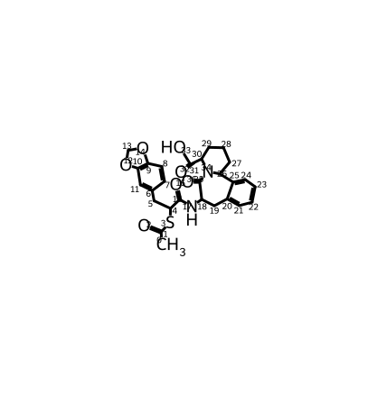 CC(=O)SC(Cc1ccc2c(c1)OCO2)C(=O)NC1Cc2ccccc2C2CCCC(C(=O)O)N2C1=O